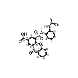 CC(=O)Nc1ccccc1NS(=O)(=O)c1cc(C(=O)O)cc([N+](=O)[O-])c1Oc1ccccc1